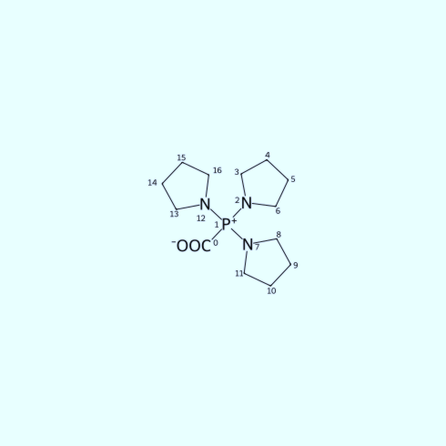 O=C([O-])[P+](N1CCCC1)(N1CCCC1)N1CCCC1